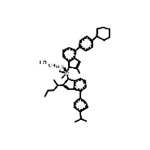 CCCC(C)C1=Cc2c(-c3ccc(C(C)C)cc3)cccc2[CH]1[Zr]([CH3])([CH3])(=[SiH2])[CH]1C(C)=Cc2c(-c3ccc(C4CCCCC4)cc3)cccc21.Cl.Cl